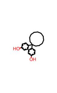 Oc1ccc(C2(c3ccc(O)cc3)CCCCCCCCCCC2)cc1